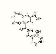 CC(C)Nc1cc2c(c(C(=O)NC[C@@H]3CCNC[C@H]3O)c1)OCCCO2